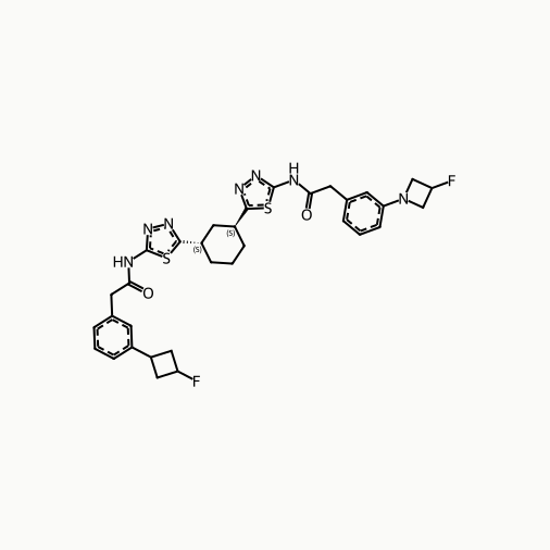 O=C(Cc1cccc(C2CC(F)C2)c1)Nc1nnc([C@H]2CCC[C@H](c3nnc(NC(=O)Cc4cccc(N5CC(F)C5)c4)s3)C2)s1